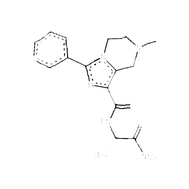 CNC(=O)[C@@H](NC(=O)c1nc(-c2cccnc2)n2c1CN(C)CC2)C(C)(C)C